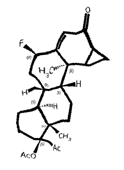 CC(=O)O[C@@]1(C(C)=O)CC[C@H]2[C@@H]3C[C@@H](F)C4=CC(=O)C5CC5[C@@]4(C)[C@@H]3CC[C@@]21C